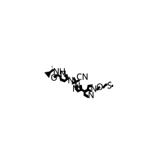 C[C@H](NC(=O)c1ccc(N2CC(CC#N)(n3cc(-c4ccnc5c4ccn5COCCS(C)(C)C)cn3)C2)cn1)C1CC1